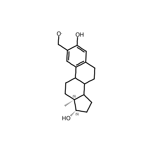 C[C@]12CCC3c4cc(C[O])c(O)cc4CCC3C1CC[C@@H]2O